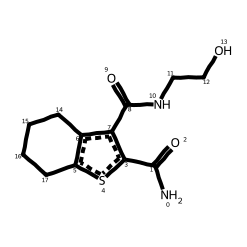 NC(=O)c1sc2c(c1C(=O)NCCO)CCCC2